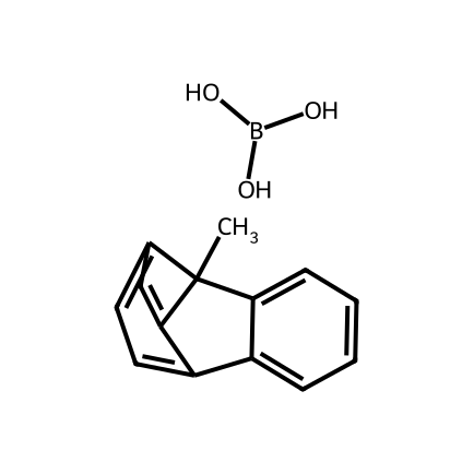 CC12C3=CC=C(C1=C3)c1ccccc12.OB(O)O